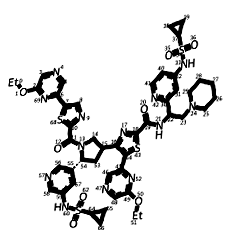 CCOc1cncc(-c2cnc(C(=O)N3CC(c4nc(C(=O)NC(CN5CCCCC5)c5cc(NS(=O)(=O)C6CC6)ccn5)sc4-c4cncc(OCC)n4)C[C@@H]3c3cncc(NS(=O)(=O)C4CC4)c3)s2)n1